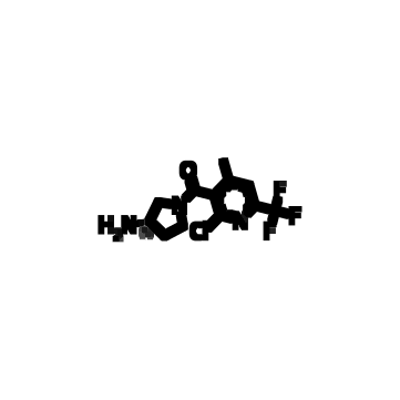 Cc1cc(C(F)(F)F)nc(Cl)c1C(=O)N1CC[C@H](N)C1